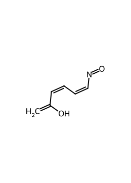 C=C(O)/C=C\C=C/N=O